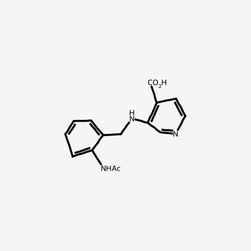 CC(=O)Nc1ccccc1CNc1cnccc1C(=O)O